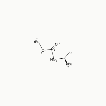 CCCC[C@H](C)NC(=O)OC(C)(C)C